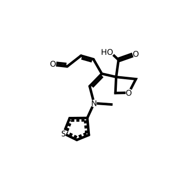 CN(/C=C(/C=C\C=O)C1(C(=O)O)COC1)c1ccsc1